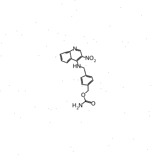 NC(=O)OCc1ccc(CNc2c([N+](=O)[O-])cnc3ccccc23)cc1